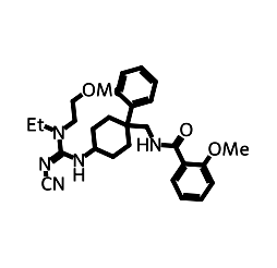 CCN(CCOC)/C(=N/C#N)NC1CCC(CNC(=O)c2ccccc2OC)(c2ccccc2)CC1